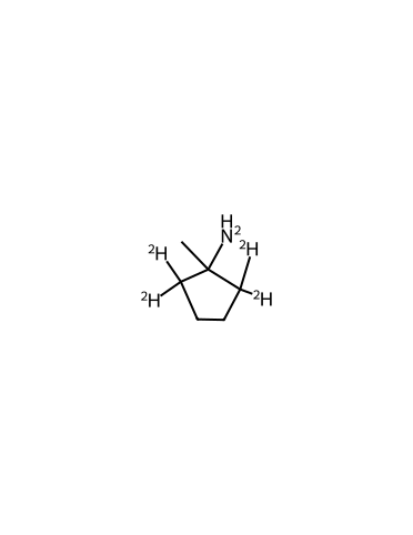 [2H]C1([2H])CCC([2H])([2H])C1(C)N